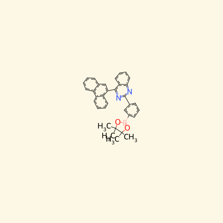 CC1(C)OB(c2cccc(-c3nc(-c4cc5ccccc5c5ccccc45)c4ccccc4n3)c2)OC1(C)C